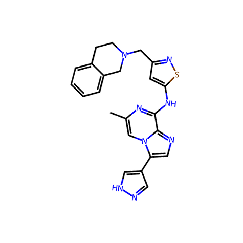 Cc1cn2c(-c3cn[nH]c3)cnc2c(Nc2cc(CN3CCc4ccccc4C3)ns2)n1